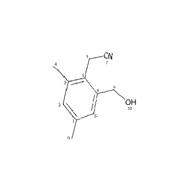 Cc1cc(C)c(CC#N)c(CO)c1